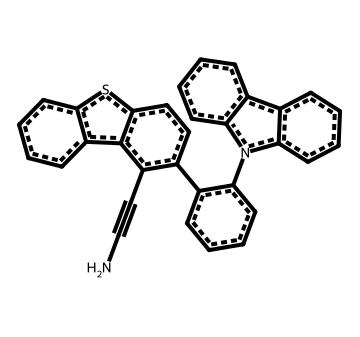 NC#Cc1c(-c2ccccc2-n2c3ccccc3c3ccccc32)ccc2sc3ccccc3c12